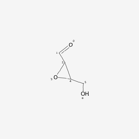 O=CC1OC1CO